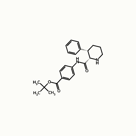 CC(C)(C)OC(=O)c1ccc(NC(=O)[C@H]2NCCC[C@H]2c2ccccc2)cc1